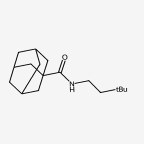 CC(C)(C)CCNC(=O)C12CC3CC(CC(C3)C1)C2